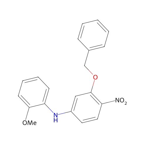 COc1ccccc1Nc1ccc([N+](=O)[O-])c(OCc2ccccc2)c1